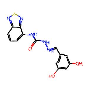 O=C(N/N=C/c1cc(O)cc(O)c1)Nc1cccc2nsnc12